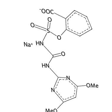 COc1cc(OC)nc(NC(=O)NS(=O)(=O)Oc2ccccc2C(=O)[O-])n1.[Na+]